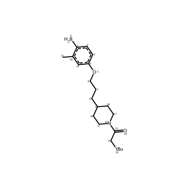 Bc1ccc(OCCCC2CCN(C(=O)CC(C)(C)C)CC2)cc1C